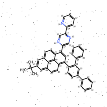 CC(C)(C)c1cc2ccc3c(-c4cnc(-c5ccccn5)cn4)cc(-c4ccc(-c5ccccc5)cc4-c4ccccc4)c4ccc(c1)c2c34